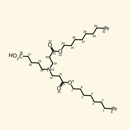 CC(C)CCCCCCCOC(=O)CCN(CCCCC(=O)O)CCC(=O)OCCCCCCCC(C)C